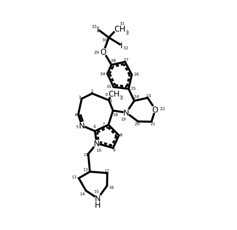 CC1CC/C=N\c2c(ccn2CC2CCNCC2)C1N1CCOCC1c1ccc(OC(C)(I)I)cc1